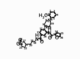 Cc1ccccc1N1CCN(c2ccc(C(=O)NCCCC3CCS(=O)(=O)C3)cc2NC(=O)c2ccco2)CC1